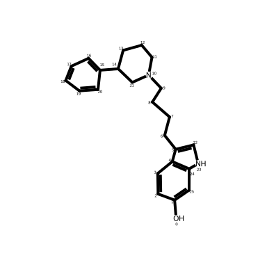 Oc1ccc2c(CCCCN3CCCC(c4ccccc4)C3)c[nH]c2c1